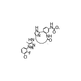 COC(=O)Nc1ccc2c(c1)NC(=O)[C@H](C)CCC[C@H](Nc1nnn(-c3cccc(Cl)c3F)c1C)c1c[nH]c-2n1